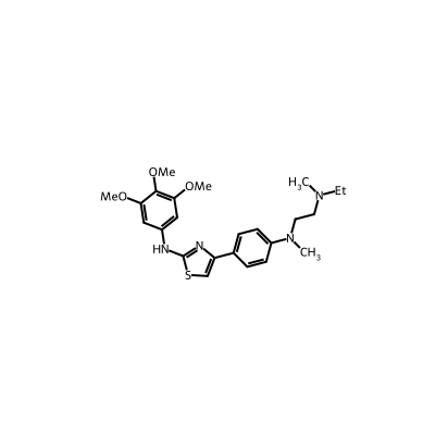 CCN(C)CCN(C)c1ccc(-c2csc(Nc3cc(OC)c(OC)c(OC)c3)n2)cc1